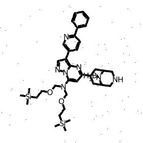 BN1C2CNCC1CC(c1cc(N(COCC[Si](C)(C)C)COCC[Si](C)(C)C)n3ncc(-c4ccc(-c5ccccc5)nc4)c3n1)C2